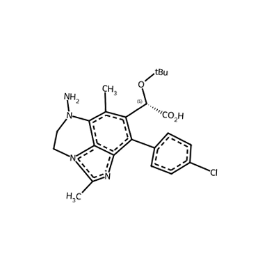 Cc1c([C@H](OC(C)(C)C)C(=O)O)c(-c2ccc(Cl)cc2)c2nc(C)n3c2c1N(N)CC3